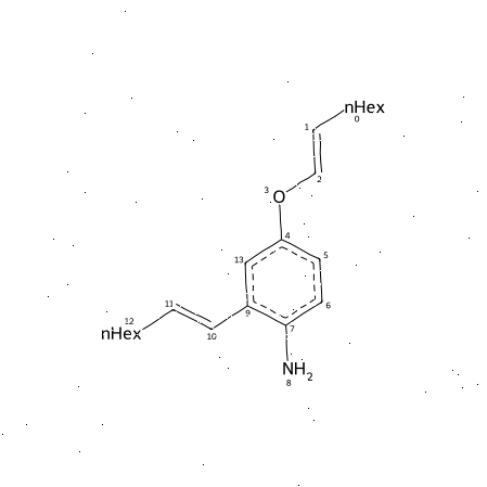 CCCCCCC=COc1ccc(N)c(C=CCCCCCC)c1